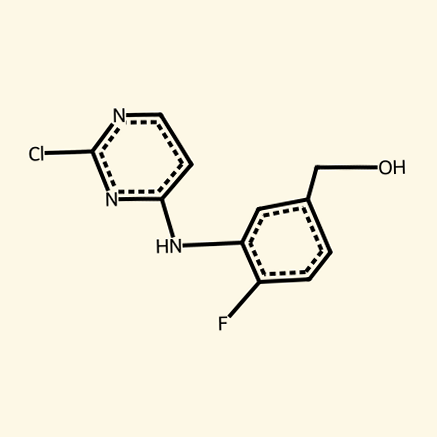 OCc1ccc(F)c(Nc2ccnc(Cl)n2)c1